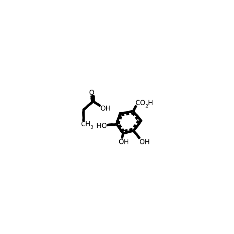 CCC(=O)O.O=C(O)c1cc(O)c(O)c(O)c1